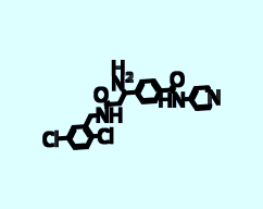 NC(CC(=O)NCc1cc(Cl)ccc1Cl)c1ccc(C(=O)Nc2ccncc2)cc1